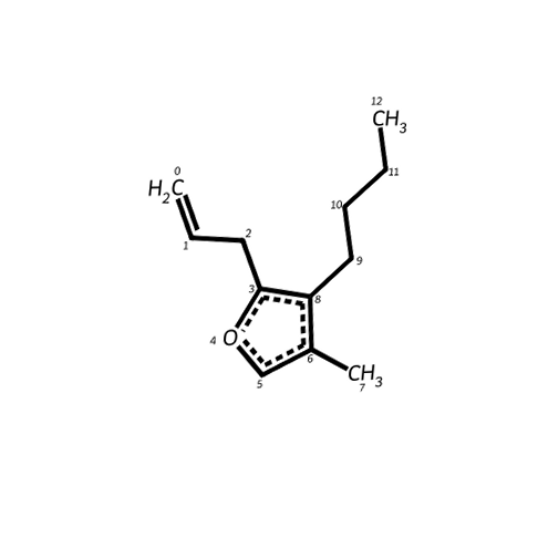 C=CCc1occ(C)c1CCCC